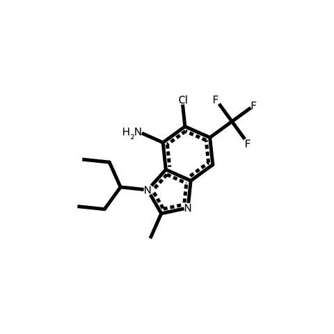 CCC(CC)n1c(C)nc2cc(C(F)(F)F)c(Cl)c(N)c21